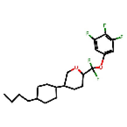 CCCCC1CCC(C2CCC(C(F)(F)Oc3cc(F)c(F)c(F)c3)OC2)CC1